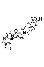 CC(C)[C@]1(C(=O)N2CCc3ncc(C(F)(F)F)cc3C2)CCC(N2CCC(c3cccc(C(=O)O)c3)CC2)C1